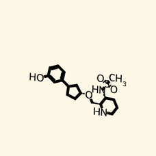 CS(=O)(=O)N[C@H]1CCCN[C@H]1CO[C@@H]1CCC(c2cccc(O)c2)C1